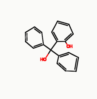 Oc1ccccc1C(O)(c1ccccc1)c1ccccc1